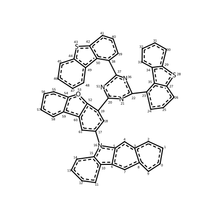 c1ccc2cc3c(cc2c1)c1ccccc1n3-c1cc(-c2nc(-c3cccc4sc5ccccc5c34)nc(-c3cccc4sc5ccccc5c34)n2)c2oc3ccccc3c2c1